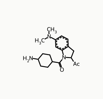 CC(=O)C1Cc2ccc(N(C)C)cc2N1C(=O)C1CCC(N)CC1